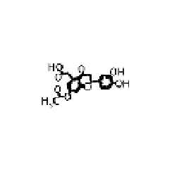 CC(=O)Oc1cc(CC(=O)O)c2c(=O)cc(-c3ccc(O)c(O)c3)oc2c1